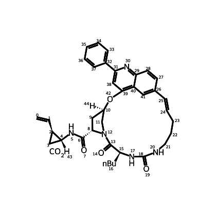 C=C[C@@H]1C[C@]1(NC(=O)[C@@H]1C[C@@H]2CN1C(=O)[C@H](CCCC)NC(=O)NCCC/C=C/c1ccc3nc(-c4ccccc4)cc(c3c1)O2)C(=O)O